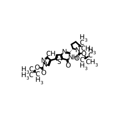 Cc1nn(C(=O)OC(C)(C)C)cc1-c1cc2nc([C@@H]3CCC(C)(C)N3C(=O)OC(C)(C)C)[nH]c(=O)c2s1